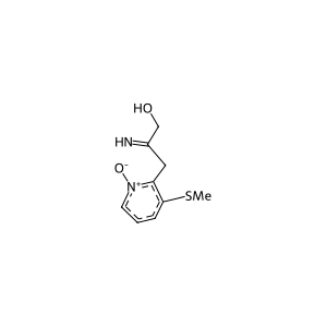 CSc1ccc[n+]([O-])c1CC(=N)CO